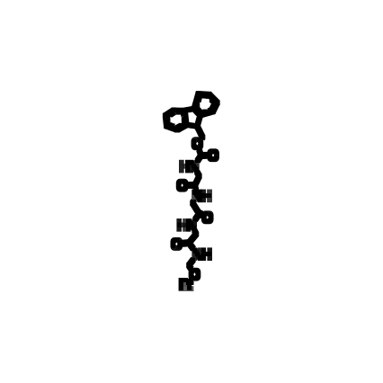 CCOCNC(=O)CNC(=O)CNC(=O)CNC(=O)OCC1c2ccccc2-c2ccccc21